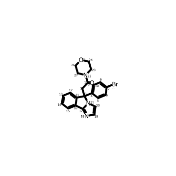 O=C(CC1(c2ccc(Br)cc2)c2ccccc2-c2nccn21)N1CCOCC1